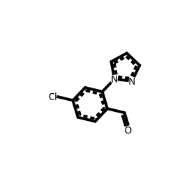 O=Cc1ccc(Cl)cc1-n1cccn1